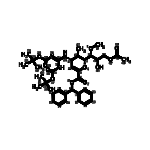 CO[C@@H]([C@@H]1OC(C(=O)OC(c2ccccc2)c2ccccc2)=C[C@H](N/C(=N/C(=O)OC(C)(C)C)NC(=O)OC(C)(C)C)[C@H]1C)[C@H](O)COC(C)=O